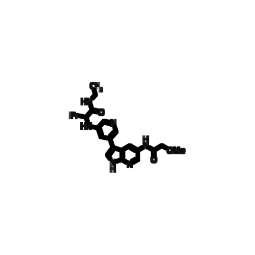 COCC(=O)Nc1cnc2[nH]cc(-c3cncc(NC(C(=O)NCC(F)(F)F)C(C)C)c3)c2c1